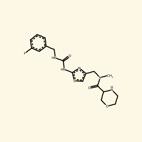 CN(Cc1csc(NC(=O)NCc2cccc(F)c2)n1)C(=O)C1COCCN1